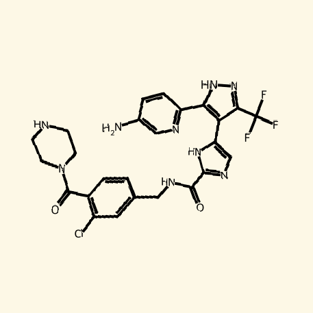 Nc1ccc(-c2[nH]nc(C(F)(F)F)c2-c2cnc(C(=O)NCc3ccc(C(=O)N4CCNCC4)c(Cl)c3)[nH]2)nc1